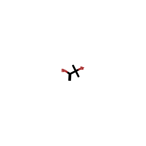 C=C(Br)C(C)(C)Br